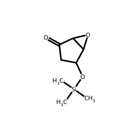 C[Si](C)(C)OC1CC(=O)C2OC12